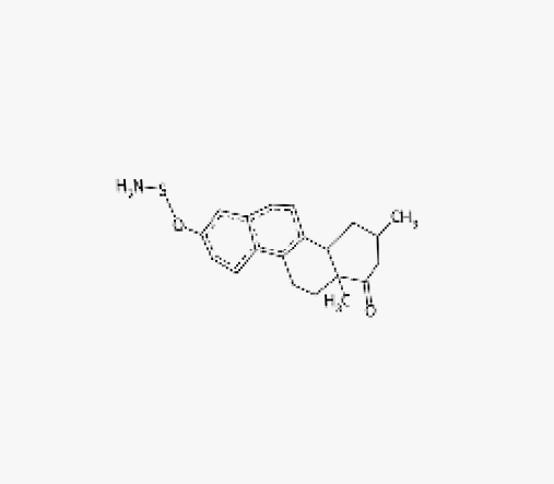 CC1CC(=O)C2(C)CCc3c(ccc4cc(OSN)ccc34)C2C1